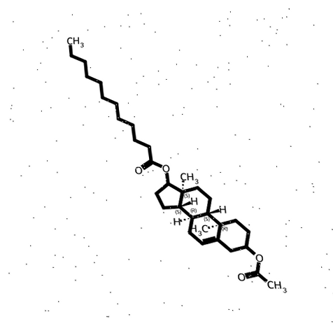 CCCCCCCCCCCC(=O)OC1CC[C@H]2[C@@H]3CC=C4CC(OC(C)=O)CC[C@]4(C)[C@H]3CC[C@]12C